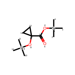 C[Si](C)(C)OC(=O)C1(O[Si](C)(C)C)CC1